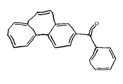 O=C(c1ccccc1)c1ccc2c(ccc3ccccc32)c1